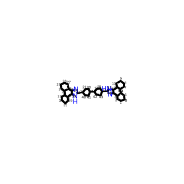 c1ccc2c(c1)c1ccccc1c1[nH]c(-c3ccc(-c4ccc(-c5nc6c7ccccc7c7ccccc7c6[nH]5)cc4)cc3)nc21